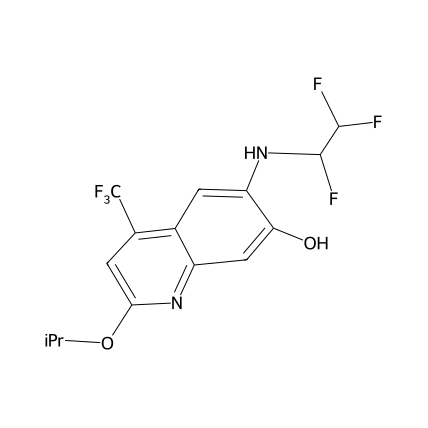 CC(C)Oc1cc(C(F)(F)F)c2cc(NC(F)C(F)F)c(O)cc2n1